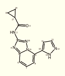 O=C(Nc1nc2cccc(-c3ccn[nH]3)n2n1)C1CC1